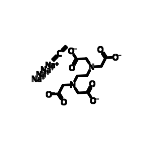 C=C=C.O=C([O-])CN(CCN(CC(=O)[O-])CC(=O)[O-])CC(=O)[O-].[Na+].[Na+].[Na+].[Na+]